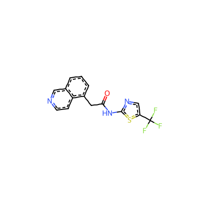 O=C(Cc1cccc2cnccc12)Nc1ncc(C(F)(F)F)s1